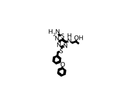 CC(O)CNc1nc(SCc2cccc(Oc3ccccc3)c2)nc2nc(N)sc12